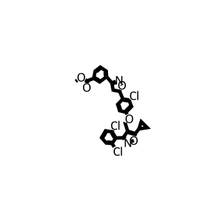 COC(=O)c1cccc(C2=NOC(c3ccc(OCc4c(-c5c(Cl)cccc5Cl)noc4C4CC4)cc3Cl)C2)c1